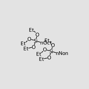 CCCCCCCCC[Si](OCC)(OCC)OCC.CCCCCCCC[Si](OCC)(OCC)OCC